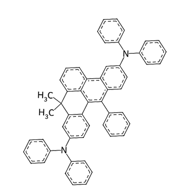 CC1(C)c2cc(N(c3ccccc3)c3ccccc3)ccc2-c2c(-c3ccccc3)c3ccc(N(c4ccccc4)c4ccccc4)cc3c3cccc1c23